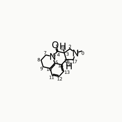 CN1C[C@H]2C(=O)N3CCCc4cccc(c43)[C@@H]2C1